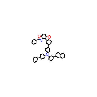 c1ccc(-c2ccc(N(c3ccc(-c4ccc5oc6ccc7oc(-c8ccccc8)nc7c6c5c4)cc3)c3cccc(-c4ccc5ccccc5c4)c3)cc2)cc1